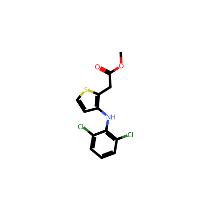 COC(=O)Cc1sccc1Nc1c(Cl)cccc1Cl